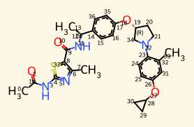 CC(=O)Nc1nc(C)c(C(=O)N[C@@H](C)c2ccc(O[C@@H]3CCN(c4ccc(OC5CC5)cc4C)C3)cc2)s1